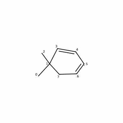 CC1(C)C=C[C]=CC1